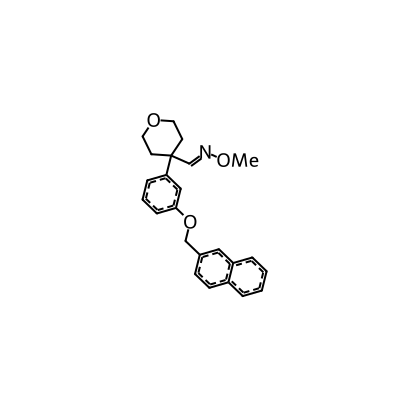 CON=CC1(c2cccc(OCc3ccc4ccccc4c3)c2)CCOCC1